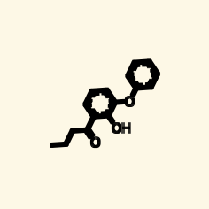 CCCC(=O)c1cccc(Oc2ccccc2)c1O